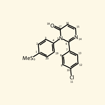 CSc1ccc(-n2c(-c3ccc(Cl)cc3)nccc2=O)cc1